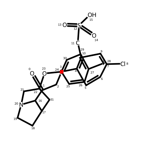 O=C(COc1ccc(Cl)cc1CS(=O)(=O)O)C1C2CCN1CC(Oc1ccc(F)cc1)C2